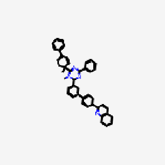 CN1C(C2(C)C=CC(c3ccccc3)=CC2)=NC(c2ccccc2)=NC1c1cccc(-c2ccc(-c3ccc4c(n3)CCC=C4)cc2)c1